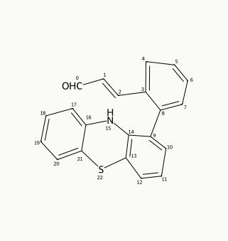 O=CC=Cc1ccccc1-c1cccc2c1Nc1ccccc1S2